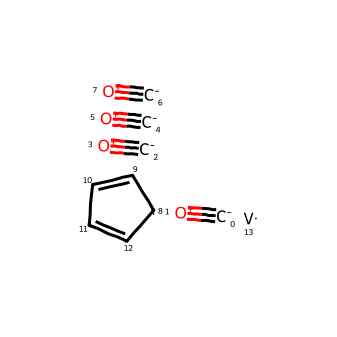 [C-]#[O+].[C-]#[O+].[C-]#[O+].[C-]#[O+].[CH]1C=CC=C1.[V]